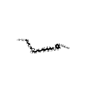 CCCCCCOCCOCCOC(=O)CCCCCCCCCCOc1ccc(OC)cc1